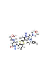 Cc1cccc(C(CCN2CCOCC2)Nc2ccc3c(c2)Sc2cccc(-c4cc(N5CCOCC5)cc(=O)[nH]4)c2S3)n1